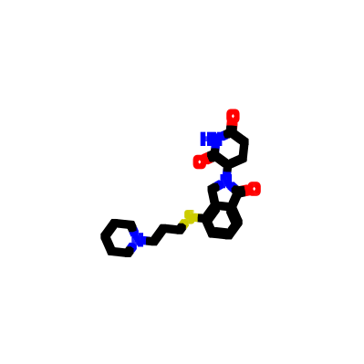 O=C1CCC(N2Cc3c(SCCCN4CCCCC4)cccc3C2=O)C(=O)N1